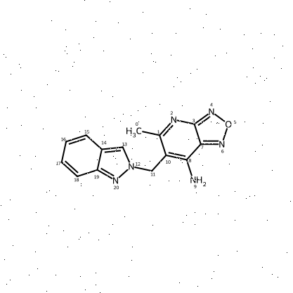 Cc1nc2nonc2c(N)c1Cn1cc2ccccc2n1